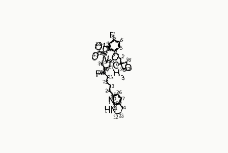 CC1(COc2ccc(F)cc2[C@@H](C(=O)O)N2CC[C@@H]([C@H](F)CCCCc3ccc4c(n3)NCCC4)C2)COC1